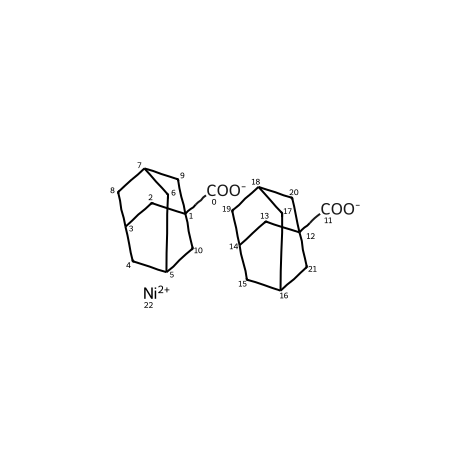 O=C([O-])C12CC3CC(CC(C3)C1)C2.O=C([O-])C12CC3CC(CC(C3)C1)C2.[Ni+2]